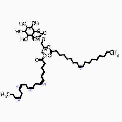 CC/C=C\C/C=C\C/C=C\C/C=C\CCCCC(=O)OC[C@H](COP(=O)(O)OC1C(O)C(O)C(O)[C@@H](O)C1O)OC(=O)CCCCCCC/C=C\CCCCCCCC